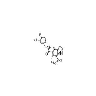 CC(=O)c1c(F)c(C(=O)NCc2ccc(F)c(Cl)c2)nc2ccnn12